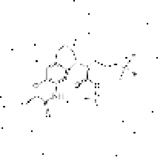 C[C@H]1Oc2cc3c(cc2NC1=O)[C@@H](N(CCCC(F)(F)F)C(=O)OC(C)(C)C)CCC3